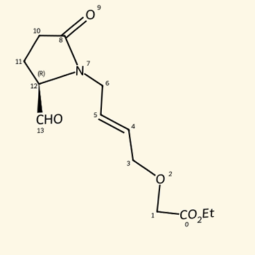 CCOC(=O)COCC=CCN1C(=O)CC[C@@H]1C=O